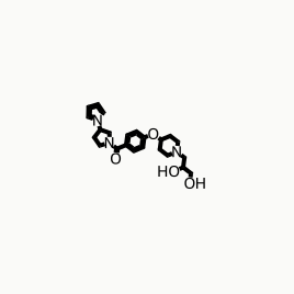 O=C(c1ccc(OC2CCN(CC(O)CO)CC2)cc1)N1CCC(n2cccc2)C1